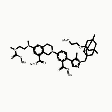 COCCOC12CC3(C)CC(C)(CC(Cn4ncc(-c5ccc(N6CCc7cc(N(C)CCN(C)C(=O)OC(C)(C)C)cc(C(=O)OC)c7C6)nc5C(=O)OC(C)(C)C)c4C)(C3)C1)C2